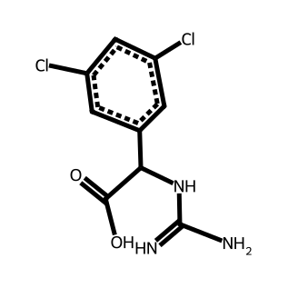 N=C(N)NC(C(=O)O)c1cc(Cl)cc(Cl)c1